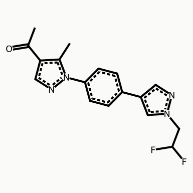 CC(=O)c1cnn(-c2ccc(-c3cnn(CC(F)F)c3)cc2)c1C